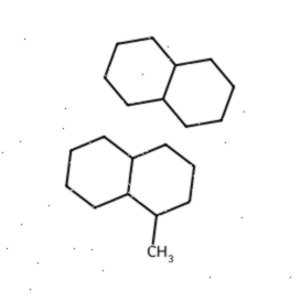 C1CCC2CCCCC2C1.CC1CCCC2CCCCC12